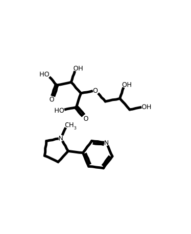 CN1CCCC1c1cccnc1.O=C(O)C(O)C(OCC(O)CO)C(=O)O